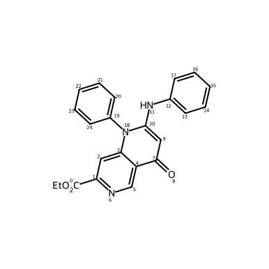 CCOC(=O)c1cc2c(cn1)c(=O)cc(Nc1ccccc1)n2-c1ccccc1